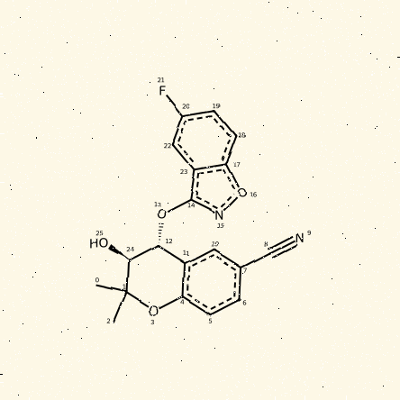 CC1(C)Oc2ccc(C#N)cc2[C@@H](Oc2noc3ccc(F)cc23)[C@@H]1O